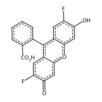 O=C(O)c1ccccc1-c1c2cc(F)c(=O)cc-2oc2cc(O)c(F)cc12